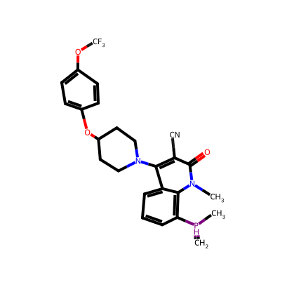 C=[PH](C)c1cccc2c(N3CCC(Oc4ccc(OC(F)(F)F)cc4)CC3)c(C#N)c(=O)n(C)c12